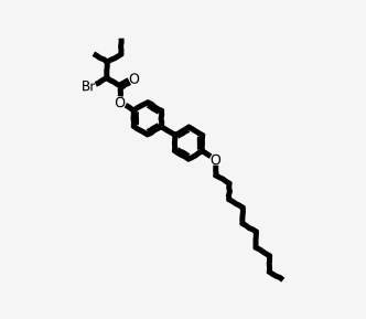 CCCCCCCCCCOc1ccc(-c2ccc(OC(=O)C(Br)C(C)CC)cc2)cc1